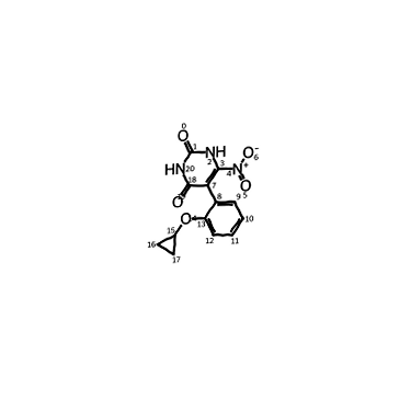 O=c1[nH]c([N+](=O)[O-])c(-c2ccccc2OC2CC2)c(=O)[nH]1